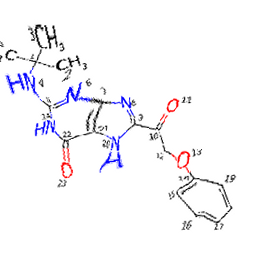 CC(C)(C)Nc1nc2nc(C(=O)COc3ccccc3)[nH]c2c(=O)[nH]1